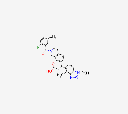 CCn1nnc2c(C)c([C@H](CC(=O)O)c3ccc4c(c3)CN(C(=O)c3cc(C)ccc3F)CC4)ccc21